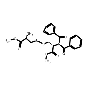 COC(=O)[C@@H](N)CSSC[C@@H](C(=O)OC)N(C(=O)c1ccccc1)C(=O)c1ccccc1